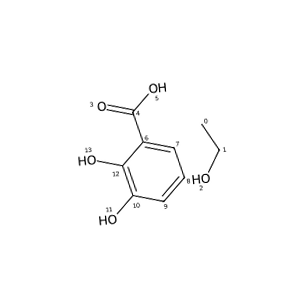 CCO.O=C(O)c1cccc(O)c1O